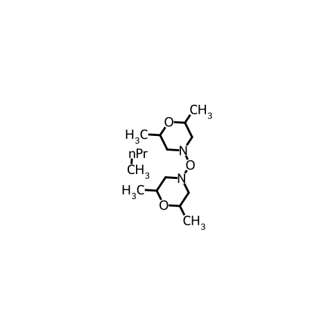 CC1CN(ON2CC(C)OC(C)C2)CC(C)O1.CCCC